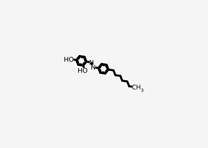 CCCCCCCc1ccc(/N=N/c2ccc(O)cc2O)cc1